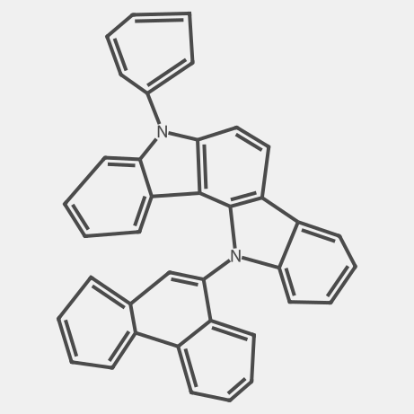 c1ccc(-n2c3ccccc3c3c2ccc2c4ccccc4n(-c4cc5ccccc5c5ccccc45)c23)cc1